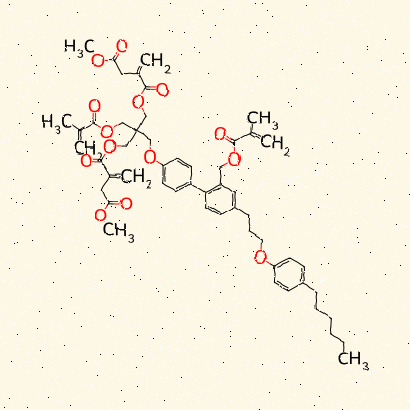 C=C(C)C(=O)OCc1cc(CCCOc2ccc(CCCCCC)cc2)ccc1-c1ccc(OCC(COC(=O)C(=C)C)(COC(=O)C(=C)CC(=O)OC)COC(=O)C(=C)CC(=O)OC)cc1